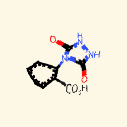 O=C(O)c1ccccc1-n1c(=O)[nH][nH]c1=O